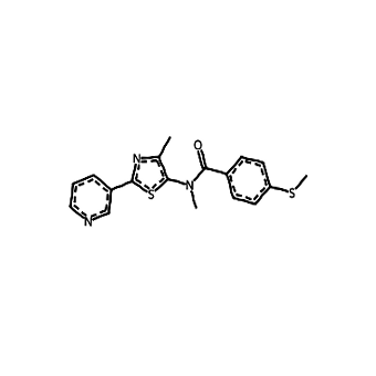 CSc1ccc(C(=O)N(C)c2sc(-c3cccnc3)nc2C)cc1